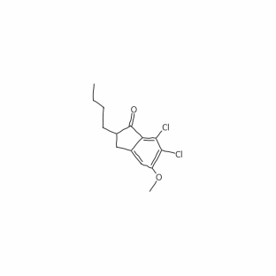 CCCCC1Cc2cc(OC)c(Cl)c(Cl)c2C1=O